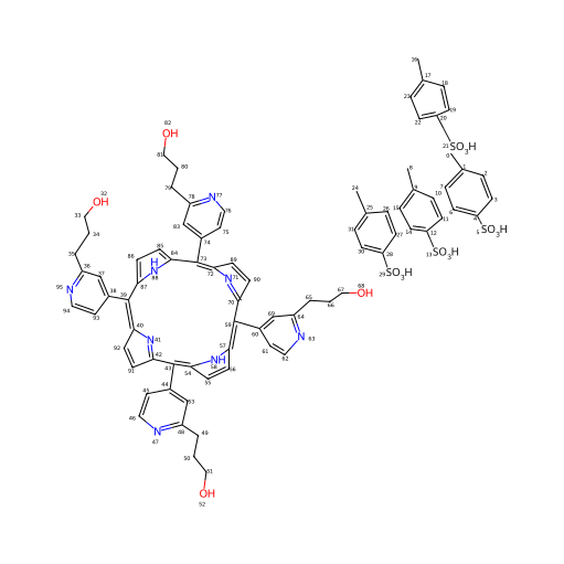 Cc1ccc(S(=O)(=O)O)cc1.Cc1ccc(S(=O)(=O)O)cc1.Cc1ccc(S(=O)(=O)O)cc1.Cc1ccc(S(=O)(=O)O)cc1.OCCCc1cc(-c2c3nc(c(-c4ccnc(CCCO)c4)c4ccc([nH]4)c(-c4ccnc(CCCO)c4)c4nc(c(-c5ccnc(CCCO)c5)c5ccc2[nH]5)C=C4)C=C3)ccn1